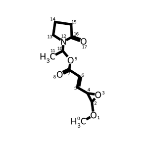 COC1OC1C=CC(=O)OC(C)N1CCCC1=O